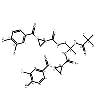 CC([CH]OC(=O)[C@H]1C[C@@H]1C(=O)c1ccc(Cl)c(Cl)c1)(OC(=O)[C@H]1C[C@@H]1C(=O)c1ccc(Cl)c(Cl)c1)OC(=O)C(C)(C)C